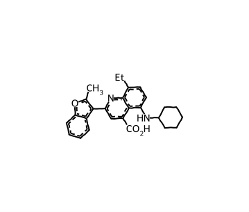 CCc1ccc(NC2CCCCC2)c2c(C(=O)O)cc(-c3c(C)oc4ccccc34)nc12